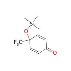 C[Si](C)(C)OC1(C(F)(F)F)C=CC(=O)C=C1